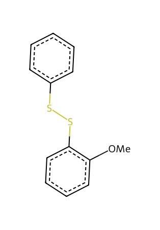 COc1ccccc1SSc1ccccc1